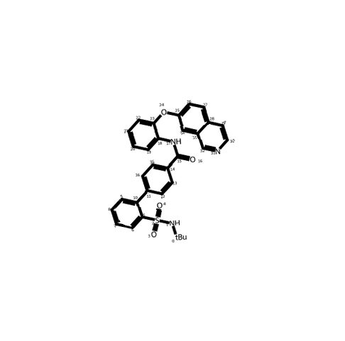 CC(C)(C)NS(=O)(=O)c1ccccc1-c1ccc(C(=O)Nc2ccccc2Oc2ccc3ccncc3c2)cc1